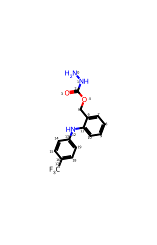 NNC(=O)OCc1ccccc1Nc1ccc(C(F)(F)F)cc1